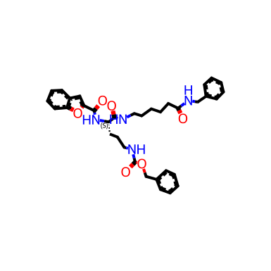 O=C(CCCCCNC(=O)[C@H](CCCNC(=O)OCc1ccccc1)NC(=O)c1cc2ccccc2o1)NCc1ccccc1